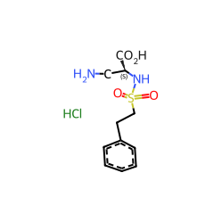 Cl.NC[C@H](NS(=O)(=O)CCc1ccccc1)C(=O)O